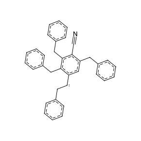 N#Cc1c(Cc2ccccc2)cc([C]Cc2ccccc2)c(Cc2ccccc2)c1Cc1ccccc1